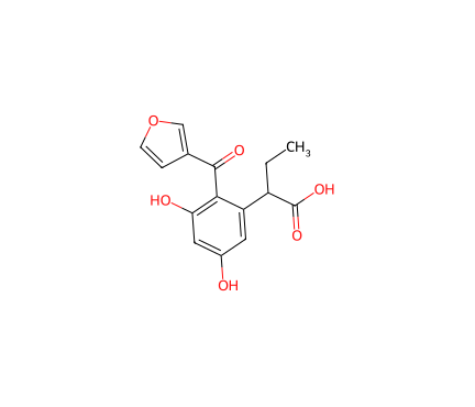 CCC(C(=O)O)c1cc(O)cc(O)c1C(=O)c1ccoc1